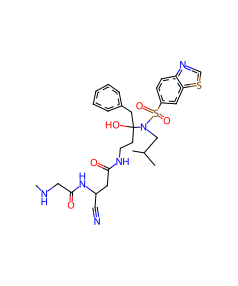 CNCC(=O)NC(C#N)CC(=O)NCCC(O)(Cc1ccccc1)N(CC(C)C)S(=O)(=O)c1ccc2ncsc2c1